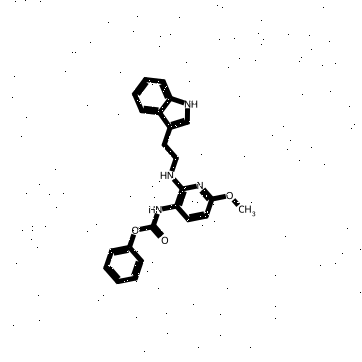 COc1ccc(NC(=O)Oc2ccccc2)c(NCCc2c[nH]c3ccccc23)n1